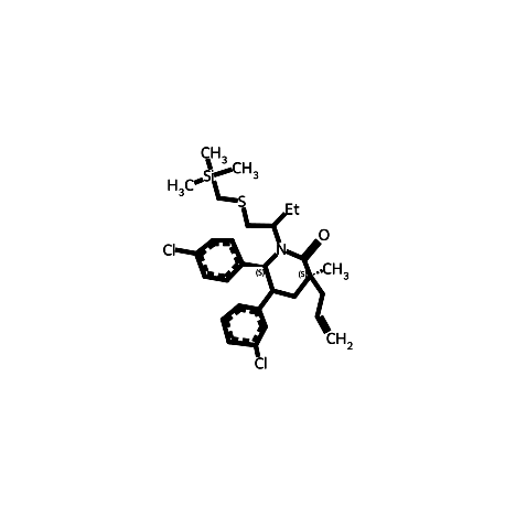 C=CC[C@@]1(C)CC(c2cccc(Cl)c2)[C@@H](c2ccc(Cl)cc2)N(C(CC)CSC[Si](C)(C)C)C1=O